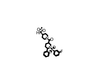 CS(=O)(=O)NC1CCN(C(=O)C2CCC(c3ccccc3)N(S(=O)(=O)c3cccc(F)c3)C2)CC1